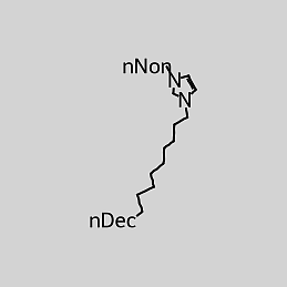 CCCCCCCCCCCCCCCCCCCN1C=CN(CCCCCCCCC)C1